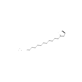 CCCCCCCCCCCCCCCCCCCCC1CC=CO1